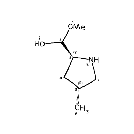 COC(O)[C@@H]1C[C@@H](C)CN1